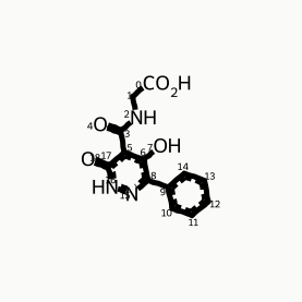 O=C(O)CNC(=O)c1c(O)c(-c2ccccc2)n[nH]c1=O